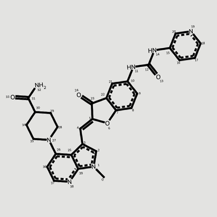 Cn1cc(C=C2Oc3ccc(NC(=O)Nc4cccnc4)cc3C2=O)c2c(N3CCC(C(N)=O)CC3)ccnc21